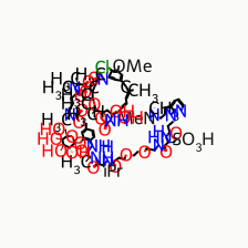 CNN(C)Cc1cc2cccnc2n1CCC(=O)N[C@@H](CS(=O)(=O)O)C(=O)NCCOCCOCCC(=O)N[C@H](C(=O)N[C@@H](C)C(=O)Nc1ccc(COC(=O)N(C)CCCC(=O)N(C)[C@@H](C)C(=O)O[C@H]2CC(=O)N(C)c3cc(cc(OC)c3Cl)C/C(C)=C/C=C/[C@@H](O)[C@@]3(O)C[C@H](OC(=O)N3)[C@@H](C)OC2(C)C)cc1O[C@@H]1O[C@H](CO)[C@H](O)[C@H](O)[C@H]1O)C(C)C